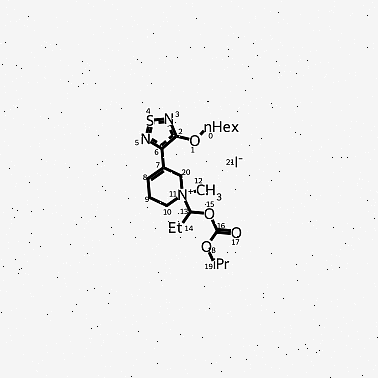 CCCCCCOc1nsnc1C1=CCC[N+](C)(C(CC)OC(=O)OC(C)C)C1.[I-]